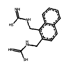 N=C(S)NCc1ccc2ccccc2c1CNC(=N)S